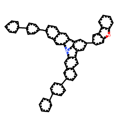 c1ccc(-c2ccc(-c3ccc4cc5c6cc(-c7ccc8oc9ccccc9c8c7)cc7c8cc9ccc(-c%10ccc(-c%11ccccc%11)cc%10)cc9cc8n(c5cc4c3)c67)cc2)cc1